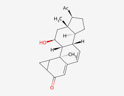 CC(=O)[C@H]1CC[C@H]2[C@@H]3C=CC4=CC(=O)C5CC5[C@@]4(C)[C@@H]3[C@@H](O)C[C@]12C